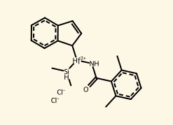 Cc1cccc(C)c1C(=O)[NH][Hf+2]([CH]1C=Cc2ccccc21)[SiH](C)C.[Cl-].[Cl-]